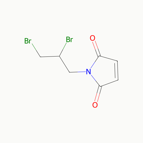 O=C1C=CC(=O)N1CC(Br)CBr